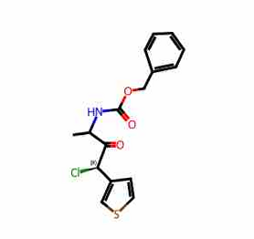 CC(NC(=O)OCc1ccccc1)C(=O)[C@H](Cl)c1ccsc1